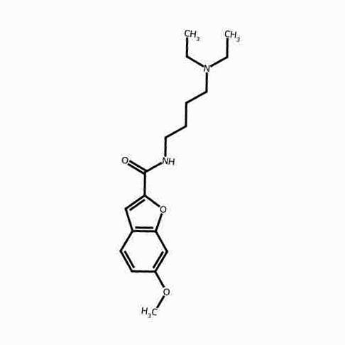 CCN(CC)CCCCNC(=O)c1cc2ccc(OC)cc2o1